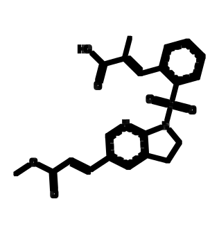 COC(=O)/C=C/c1cnc2c(c1)CCN2S(=O)(=O)c1ccccc1/C=C(\C)C(=O)O